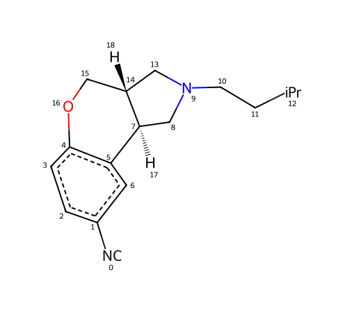 [C-]#[N+]c1ccc2c(c1)[C@@H]1CN(CCC(C)C)C[C@H]1CO2